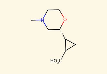 CN1CCO[C@H](C2CC2C(=O)O)C1